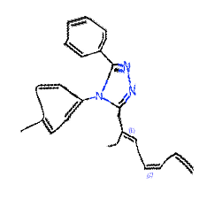 C=C/C=C\C=C(/C)c1nnc(-c2ccccc2)n1-c1ccc(C)cc1